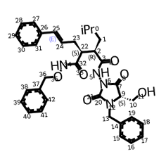 CC(C)C[C@@H](C(=O)NN1C(=O)[C@H](CO)N(Cc2ccccc2)C1=O)[C@H](C/C=C/c1ccccc1)C(=O)NOCc1ccccc1